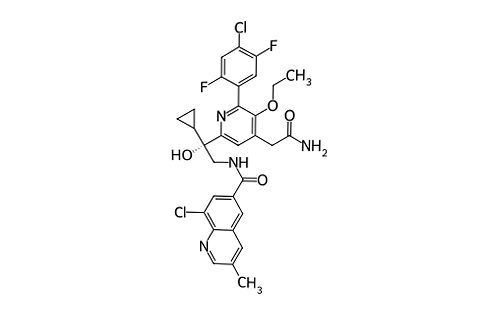 CCOc1c(CC(N)=O)cc([C@@](O)(CNC(=O)c2cc(Cl)c3ncc(C)cc3c2)C2CC2)nc1-c1cc(F)c(Cl)cc1F